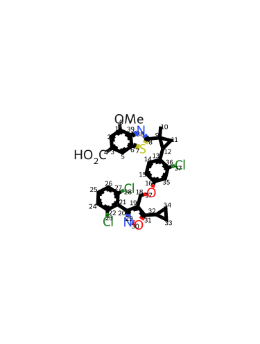 COc1cc(C(=O)O)cc2sc(C3(C)CC3c3ccc(OCc4c(-c5c(Cl)cccc5Cl)noc4C4CC4)cc3Cl)nc12